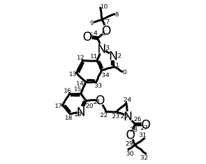 Cc1nn(C(=O)OC(C)(C)C)c2ccc(-c3cccnc3OCC3CN3C(=O)OC(C)(C)C)cc12